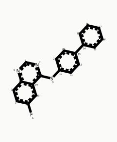 Fc1ccc2ncnc(Sc3ccc(-c4ccccc4)cc3)c2c1